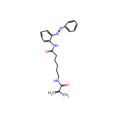 C=C(C)C(=O)NCCCCCC(=O)Nc1ccccc1N=Nc1ccccc1